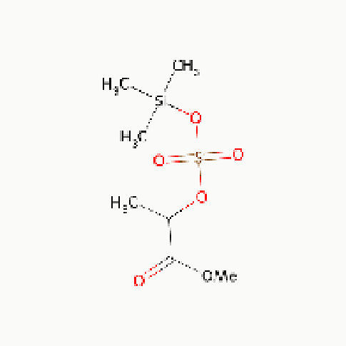 COC(=O)C(C)OS(=O)(=O)O[Si](C)(C)C